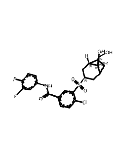 O=C(Nc1ccc(F)c(F)c1)c1ccc(Cl)c(S(=O)(=O)[C@@H]2CC3C[C@H](O)[C@@H](C2)[C@@]3(O)CO)c1